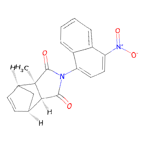 C[C@]12C(=O)N(c3ccc([N+](=O)[O-])c4ccccc34)C(=O)[C@H]1[C@H]1C=C[C@@H]2C1